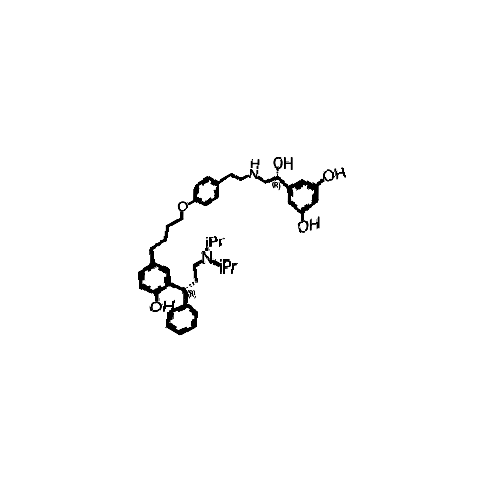 CC(C)N(CC[C@H](c1ccccc1)c1cc(CCCCOc2ccc(CCNC[C@H](O)c3cc(O)cc(O)c3)cc2)ccc1O)C(C)C